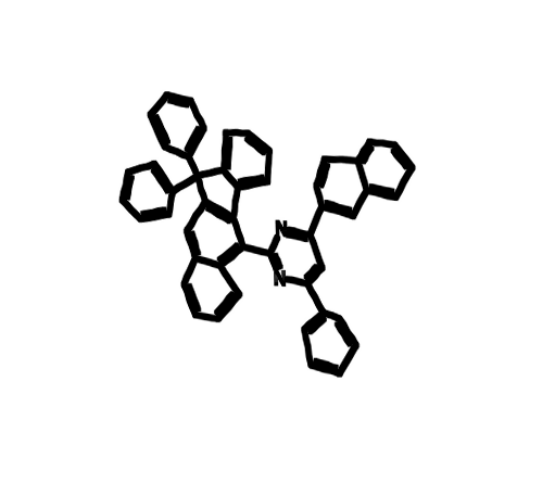 c1ccc(-c2cc(-c3ccc4ccccc4c3)nc(-c3c4c(cc5ccccc35)C(c3ccccc3)(c3ccccc3)c3ccccc3-4)n2)cc1